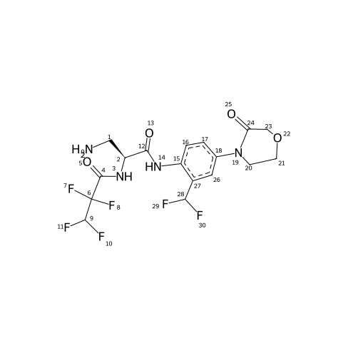 NC[C@H](NC(=O)C(F)(F)C(F)F)C(=O)Nc1ccc(N2CCOCC2=O)cc1C(F)F